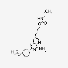 CCCNC(=O)OCCCCN1C=Nc2c(N)nc(C3=CCC=C(OC)C=C3)nc2C1